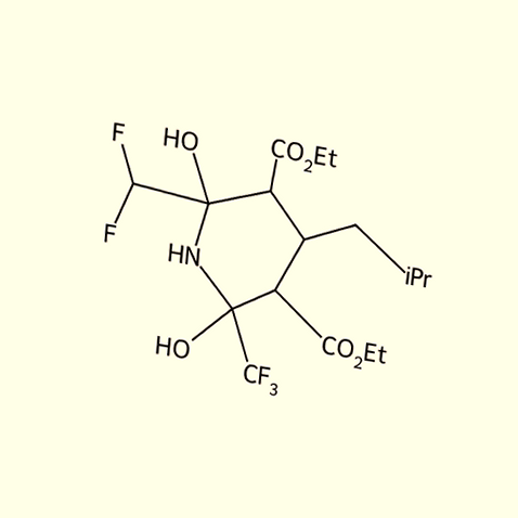 CCOC(=O)C1C(CC(C)C)C(C(=O)OCC)C(O)(C(F)(F)F)NC1(O)C(F)F